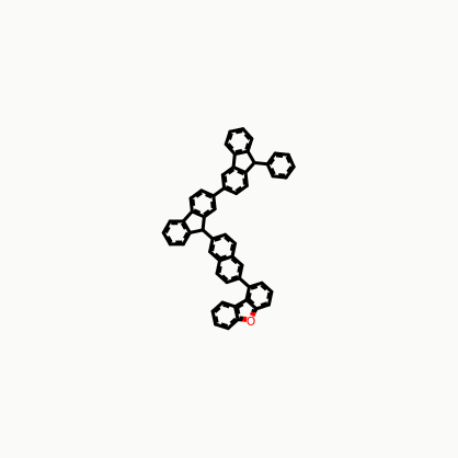 c1ccc(C2c3ccccc3-c3cc(-c4ccc5c(c4)C(c4ccc6cc(-c7cccc8oc9ccccc9c78)ccc6c4)c4ccccc4-5)ccc32)cc1